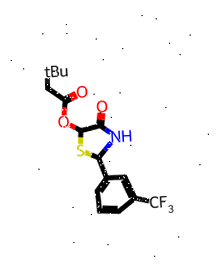 CC(C)(C)CC(=O)OC1SC(c2cccc(C(F)(F)F)c2)NC1=O